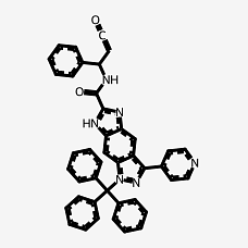 O=C=CC(NC(=O)c1nc2cc3c(-c4ccncc4)nn(C(c4ccccc4)(c4ccccc4)c4ccccc4)c3cc2[nH]1)c1ccccc1